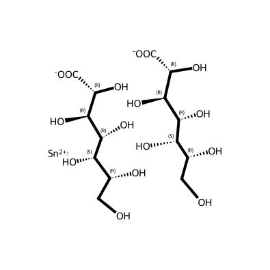 O=C([O-])[C@H](O)[C@H](O)[C@H](O)[C@@H](O)[C@H](O)CO.O=C([O-])[C@H](O)[C@H](O)[C@H](O)[C@@H](O)[C@H](O)CO.[Sn+2]